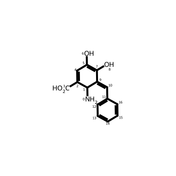 NC1C(C(=O)O)=CC(O)=C(O)C1=Cc1ccccc1